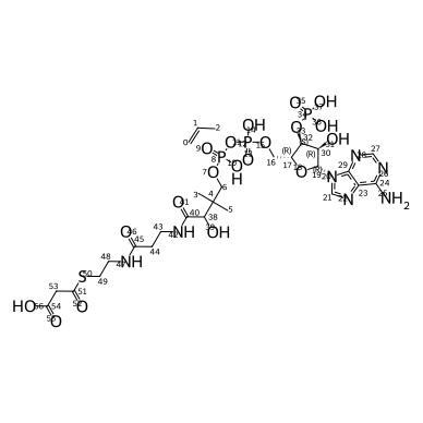 C=CC.CC(C)(COP(=O)(O)OP(=O)(O)OC[C@H]1O[C@@H](n2cnc3c(N)ncnc32)[C@H](O)[C@@H]1OP(=O)(O)O)C(O)C(=O)NCCC(=O)NCCSC(=O)CC(=O)O